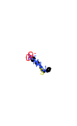 O=[N+]([O-])c1ccc(N2CCN(CCc3nc(-c4ccccc4)cs3)CC2)cc1